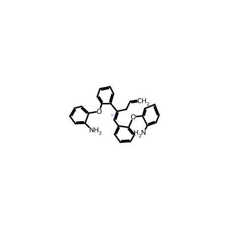 C=CC/C(=C\c1ccccc1Oc1ccccc1N)c1ccccc1Oc1ccccc1N